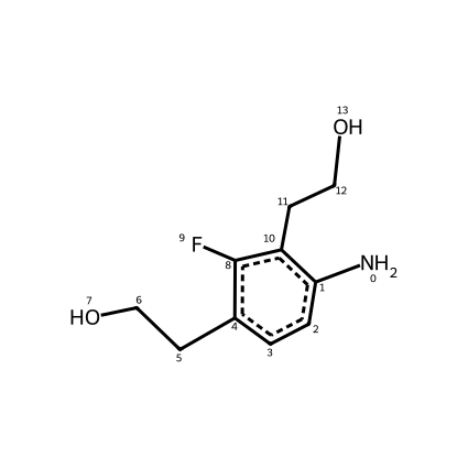 Nc1ccc(CCO)c(F)c1CCO